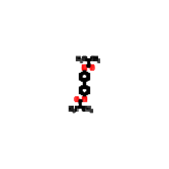 CC(C)C(=O)Oc1ccc(-c2ccc(OC(=O)C(C)C)cc2)cc1